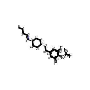 CCC/C=C/[C@H]1CC[C@H](CCc2cc(F)c(OC(F)F)c(F)c2)CC1